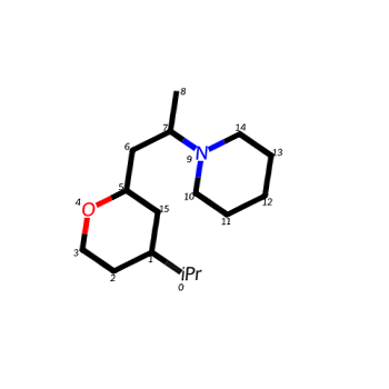 CC(C)C1CCOC(CC(C)N2CCCCC2)C1